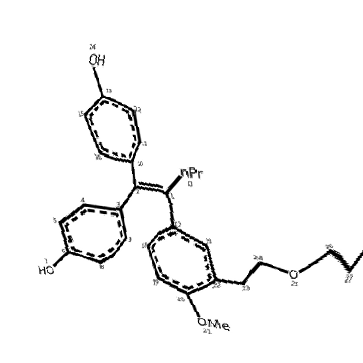 CCCC(=C(c1ccc(O)cc1)c1ccc(O)cc1)c1ccc(OC)c(CCOCCO)c1